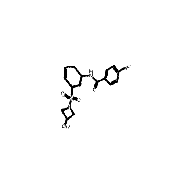 O=C(NC1CC=CC(S(=O)(=O)N2CC(O)C2)C1)c1ccc(F)cc1